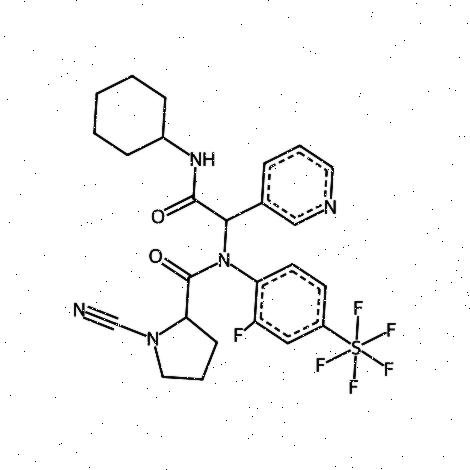 N#CN1CCCC1C(=O)N(c1ccc(S(F)(F)(F)(F)F)cc1F)C(C(=O)NC1CCCCC1)c1cccnc1